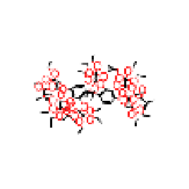 C=C(C)C(=O)OC(COc1ccc(C(C)(C)c2ccc(OCC(OCC)(OCC)OC(=O)C(=C)C)c(OC(OCC)(OCC)C(OCC)(OCC)OCC)c2OC(OCC)(OCC)C(OCC)(OCC)OCC)c(OC(OCC)(OCC)C(OCC)(OCC)OCC)c1OC(OCC)(OCC)C(OCC)(OCC)OCC)(OCC)OCC